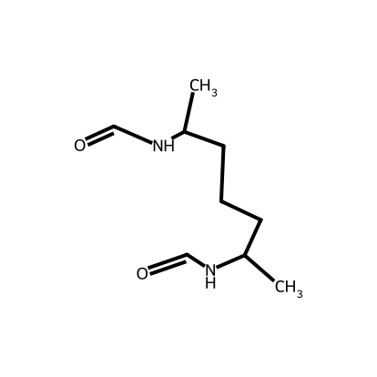 CC(CCCC(C)NC=O)NC=O